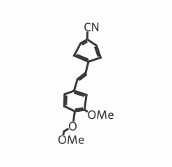 COCOc1ccc(C=Cc2ccc(C#N)cc2)cc1OC